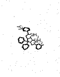 Cc1cccc(C2CC3C([SiH2]2)C2[SiH2]C(c4cccc([Si](C)(C)C)c4)CC2C3(c2ccccc2)c2ccccc2)c1